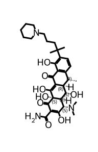 C[C@H]1c2ccc(C(C)(C)CCCN3CCCCC3)c(O)c2C(=O)C2=C(O)[C@]3(O)C(=O)C(C(N)=O)=C(O)[C@@H](N(C)C)[C@@H]3[C@@H](O)[C@@H]21